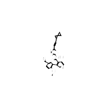 COc1ccc(C#N)cc1-c1cnccc1C(=O)Nc1nnc(C#CC2CC23CC3)s1